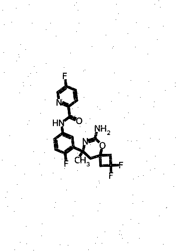 CC1(c2cc(NC(=O)c3ccc(F)cn3)ccc2F)CC2(CC(F)(F)C2)OC(N)=N1